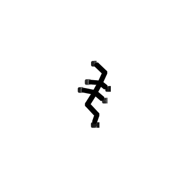 OCCC(Cl)(Cl)C(Cl)(Cl)CCl